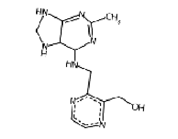 CC1=NC(NCc2nccnc2CO)C2NCNC2=N1